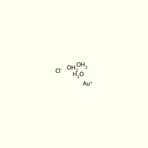 O.O.O.[Au+].[Cl-]